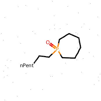 CCCCCCCP1(=O)CCCCCC1